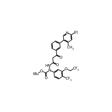 CCc1cc(C)c(-c2cccc(C(=O)CC(=O)NN(C(=O)OC(C)(C)C)c3ccc(C(F)(F)F)c(OCC(F)(F)F)c3)c2)cn1